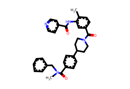 Cc1ccc(C(=O)N2CCC(c3ccc(C(=O)N(C)Cc4ccccc4)cc3)CC2)cc1NC(=O)c1ccncc1